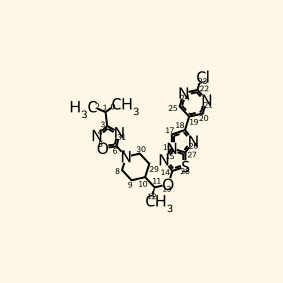 CC(C)c1noc(N2CCC([C@H](C)Oc3nn4cc(-c5cnc(Cl)nc5)nc4s3)CC2)n1